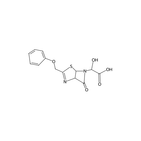 O=C(O)C(O)N1C(=O)C2N=C(COc3ccccc3)SC21